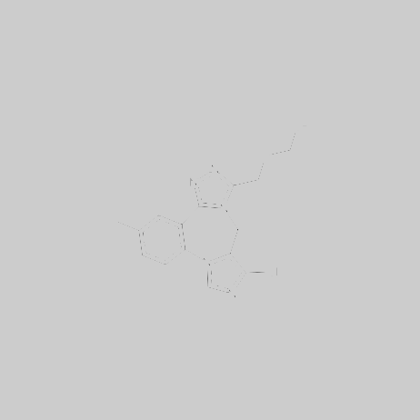 Cc1ncn2c1Cn1c(COCC(F)(F)F)nnc1-c1cc(Cl)ccc1-2